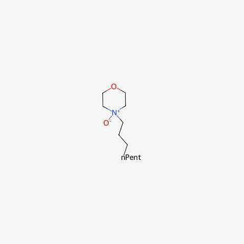 CCCCCCCC[N+]1([O-])CCOCC1